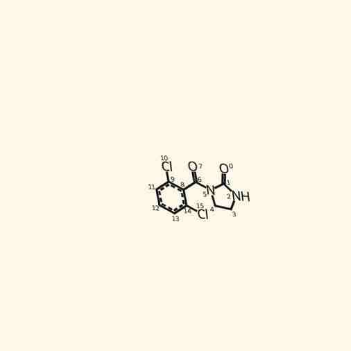 O=C1NCCN1C(=O)c1c(Cl)cccc1Cl